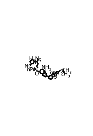 CCCN(CCCN(C(N)=S)c1cccc(C#N)c1)C(=O)C1=Cc2ccc(-c3cccc(S(=O)(=O)N4CC(CN(C)C)C4)c3)cc2N=C(N)C1